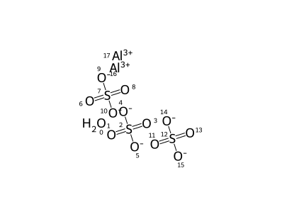 O.O=S(=O)([O-])[O-].O=S(=O)([O-])[O-].O=S(=O)([O-])[O-].[Al+3].[Al+3]